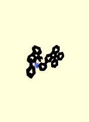 CC1(C)c2ccccc2-c2ccc3c4ccccc4n(-c4cccc(-c5ccc6c(c5)C(c5ccccc5)(c5ccccc5)c5ccccc5-6)c4)c3c21